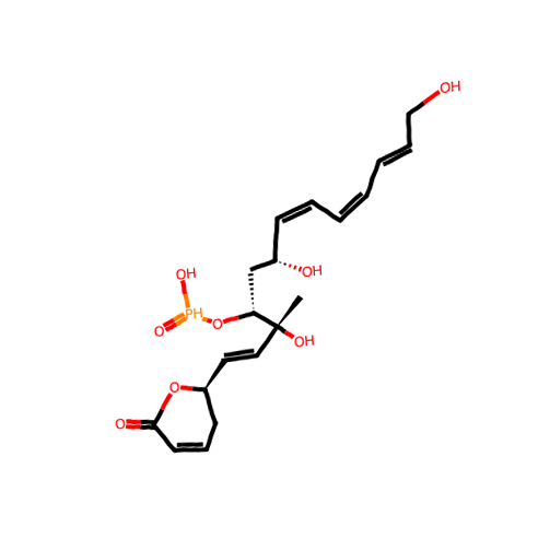 C[C@@](O)(/C=C/[C@H]1CC=CC(=O)O1)[C@@H](C[C@@H](O)\C=C/C=C\C=C\CO)O[PH](=O)O